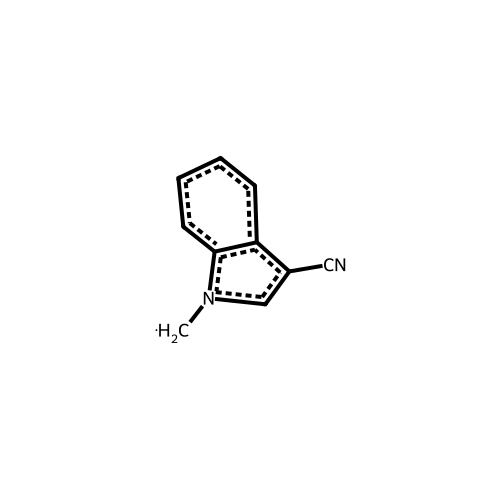 [CH2]n1cc(C#N)c2ccccc21